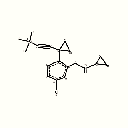 C[Si](C)(C)C#CC1(c2ccc(Cl)cc2CNC2CC2)CC1